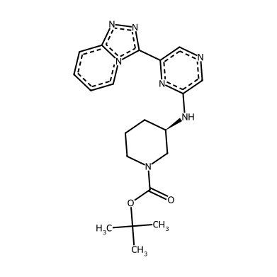 CC(C)(C)OC(=O)N1CCC[C@@H](Nc2cncc(-c3nnc4ccccn34)n2)C1